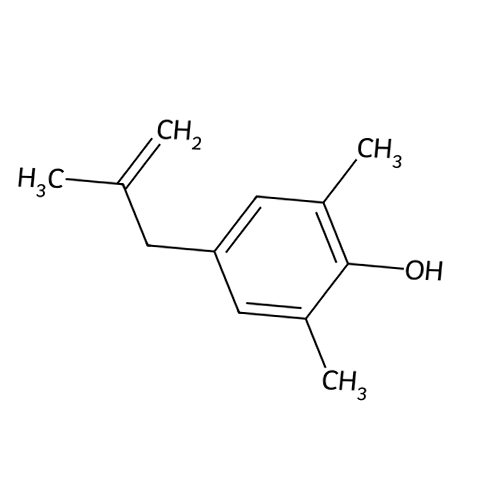 C=C(C)Cc1cc(C)c(O)c(C)c1